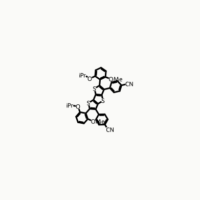 COc1cccc(OC(C)C)c1-c1sc2c(sc3c(-c4ccc(C#N)cc4)c(-c4c(OC)cccc4OC(C)C)sc32)c1-c1ccc(C#N)cc1